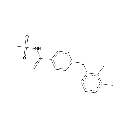 Cc1cccc(Oc2ccc(C(=O)NS(C)(=O)=O)cc2)c1C